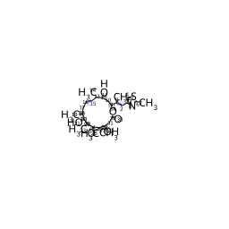 C/C(=C\c1csc(C)n1)[C@@H]1CC(O)C(C)/C=C/C[C@H](C)[C@H](O)[C@@H](C)C(=O)C(C)(C)[C@@H](O)CC(=O)O1